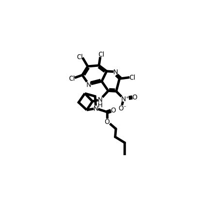 CCCCOC(=O)N1CC2CC1C2Nc1c([N+](=O)[O-])c(Cl)nc2c(Cl)c(Cl)c(Cl)nc12